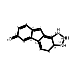 O=C1C=CC2=CC3=C4NNNC4CC=C3C2=C1